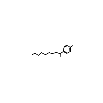 OCCCCCCCC(Br)c1ccc(Cl)cc1